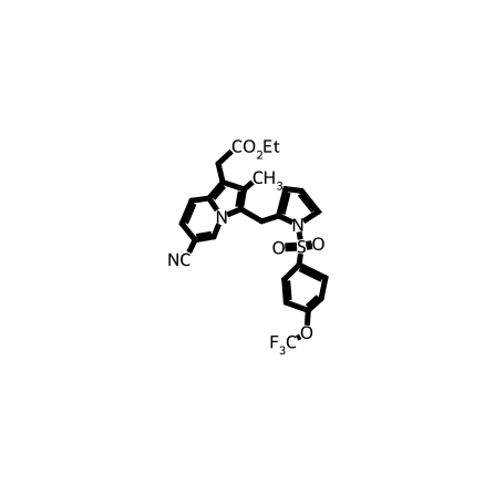 CCOC(=O)Cc1c(C)c(Cc2cccn2S(=O)(=O)c2ccc(OC(F)(F)F)cc2)n2cc(C#N)ccc12